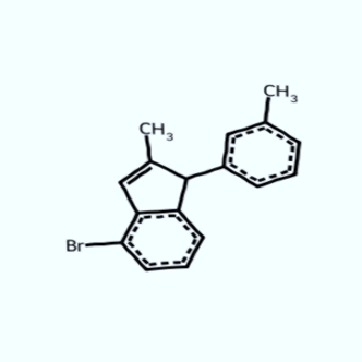 CC1=Cc2c(Br)cccc2C1c1cccc(C)c1